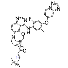 Cc1cc(Nc2ncnc3ccc4c(c23)OC[C@H]2CN4CCN2C(=O)/C=C/[C@@H](C)N(C)C)c(F)cc1Oc1ccn2ncnc2c1